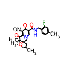 Cc1ccc(CNC(=O)c2cn3c(c(N=O)c2=O)C(=O)C(C)(C)C2(CC(C)CO2)C3)c(F)c1